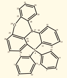 c1ccc(S2(c3ccccc3)c3ccccc3B3c4ccccc4Oc4cccc2c43)cc1